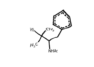 CC(=O)NC(Cc1ccccc1)C(C)(C)S